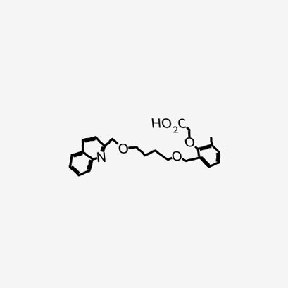 Cc1cccc(COCCCCOCc2ccc3ccccc3n2)c1OCC(=O)O